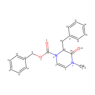 CN1C=CN(C(=O)OCc2ccccc2)C(Cc2ccccc2)C1=O